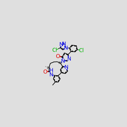 Cc1ccc2c(c1)NC(=O)[C@H](C)CCC[C@H](n1cnc(-c3cc(Cl)ccc3-n3cc(Cl)nn3)cc1=O)c1cc-2ccn1